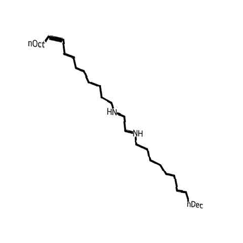 CCCCCCCC/C=C\CCCCCCCCNCCNCCCCCCCCCCCCCCCCCC